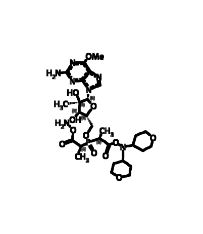 COc1nc(N)nc2c1ncn2[C@@H]1O[C@H](COP(=O)([C@@H](C)C(=O)ON)[C@@H](C)C(=O)ON(C2CCOCC2)C2CCOCC2)[C@@H](O)[C@@]1(C)O